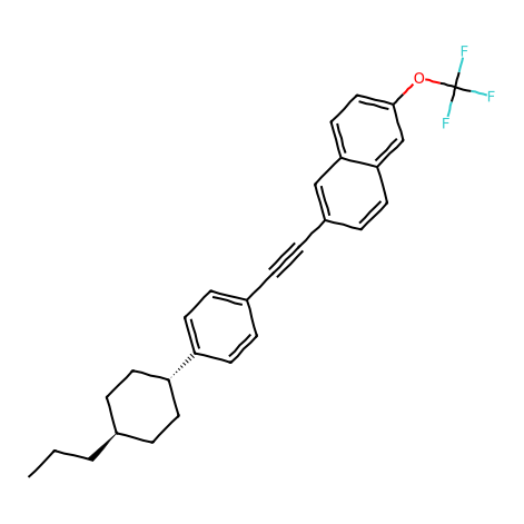 CCC[C@H]1CC[C@H](c2ccc(C#Cc3ccc4cc(OC(F)(F)F)ccc4c3)cc2)CC1